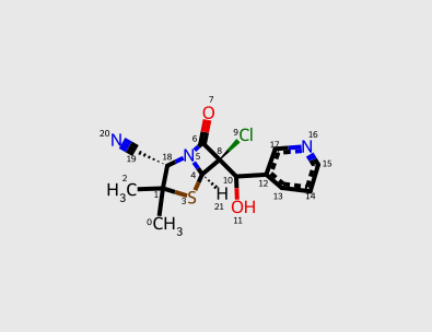 CC1(C)S[C@H]2N(C(=O)[C@]2(Cl)C(O)c2cccnc2)[C@H]1C#N